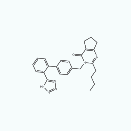 CCCCc1nc2c(c(=O)n1Cc1ccc(-c3ccccc3-c3nnn[nH]3)cc1)CCC2